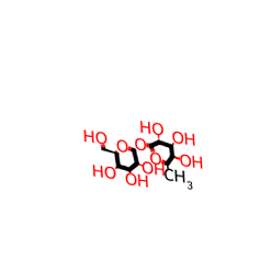 C[C@@H]1OC(O[C@@H]2O[C@H](CO)[C@@H](O)[C@H](O)[C@H]2O)[C@H](O)[C@H](O)[C@H]1O